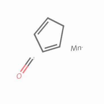 C1=CCC=C1.[C]=O.[Mn]